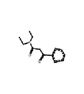 CCN(CC)C(=O)CC(=O)c1ccccc1